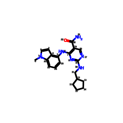 Cn1ccc2c(Nc3nc(NCC4CCCC4)ncc3C(N)=O)cccc21